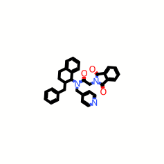 O=C1c2ccccc2C(=O)N1CC(=O)N(Cc1ccncc1)C1c2ccccc2CCC1Cc1ccccc1